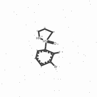 O=[SH]1(c2cccc(Br)c2F)CCCN1